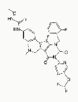 CONC(=O)Nc1ccc(-c2sc3c(c2CN(C)C)c(=O)n(-c2ccc(OC(F)F)cn2)c(=O)n3Cc2c(F)cccc2F)cc1